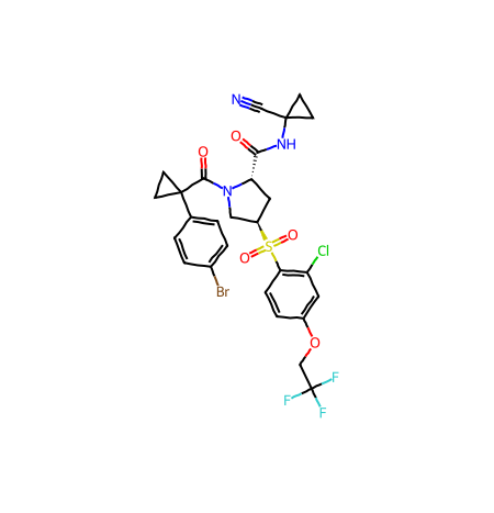 N#CC1(NC(=O)[C@@H]2C[C@@H](S(=O)(=O)c3ccc(OCC(F)(F)F)cc3Cl)CN2C(=O)C2(c3ccc(Br)cc3)CC2)CC1